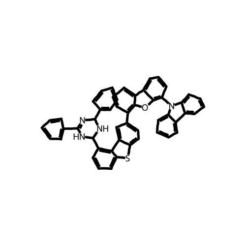 c1ccc(C2=NC(c3ccccc3)NC(c3cccc4sc5ccc(-c6cccc7c6oc6c(-n8c9ccccc9c9ccccc98)cccc67)cc5c34)N2)cc1